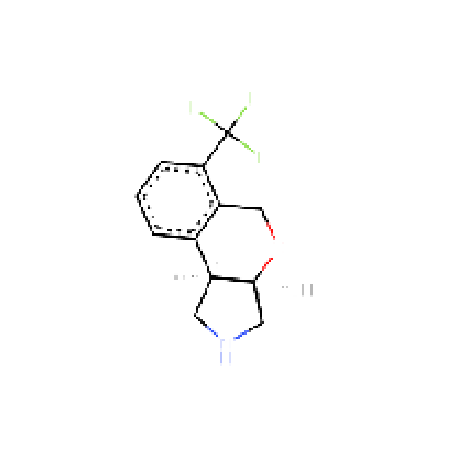 C[C@]12CNC[C@H]1c1cccc(C(F)(F)F)c1CO2